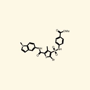 COC(=O)c1ccc(NS(=O)(=O)c2c(Br)sc(C(=O)Nc3ccc4c(ccn4C)c3)c2C)cc1